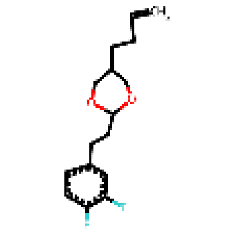 C=CCCC1COC(CCc2ccc(F)c(F)c2)OC1